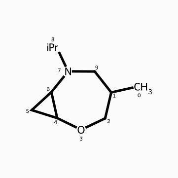 CC1COC2CC2N(C(C)C)C1